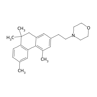 Cc1ccc2c(c1)-c1c(C)cc(CCN3CCOCC3)cc1CC2(C)C